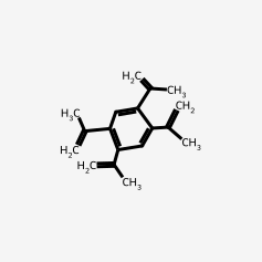 C=C(C)c1cc(C(=C)C)c(C(=C)C)cc1C(=C)C